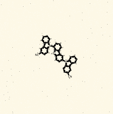 N#Cc1ccc2c(c1)c1ccccc1n2-c1ccc2sc3c(-n4c5ccccc5c5cc(C#N)ccc54)cccc3c2c1